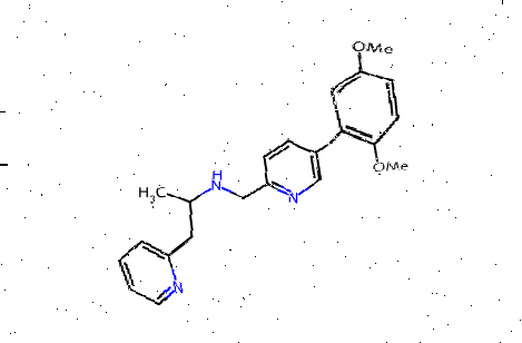 COc1ccc(OC)c(-c2ccc(CNC(C)Cc3ccccn3)nc2)c1